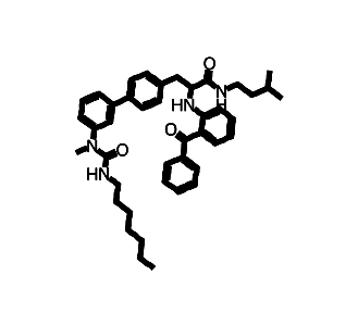 CCCCCCCNC(=O)N(C)c1cccc(-c2ccc(CC(Nc3ccccc3C(=O)c3ccccc3)C(=O)NCCC(C)C)cc2)c1